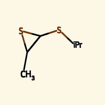 CC(C)SC1SC1C